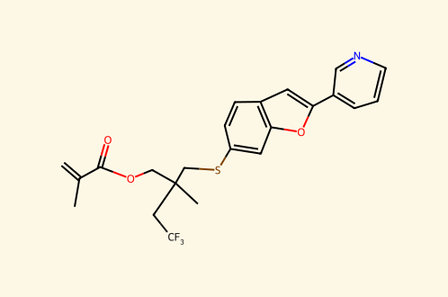 C=C(C)C(=O)OCC(C)(CSc1ccc2cc(-c3cccnc3)oc2c1)CC(F)(F)F